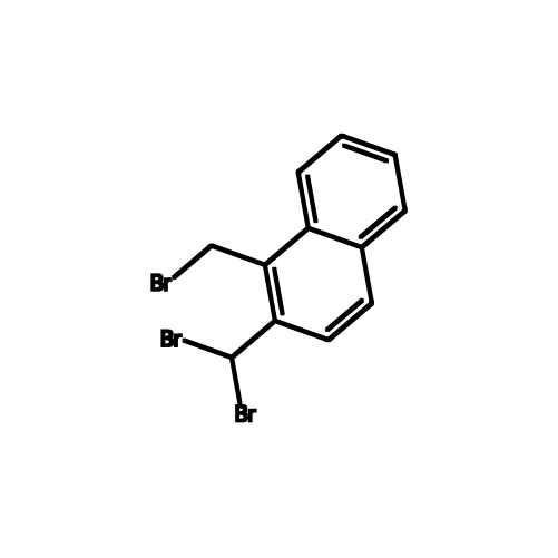 BrCc1c(C(Br)Br)ccc2ccccc12